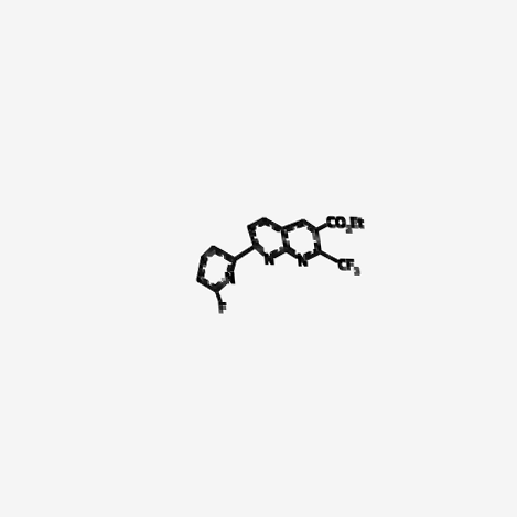 CCOC(=O)c1cc2ccc(-c3cccc(F)n3)nc2nc1C(F)(F)F